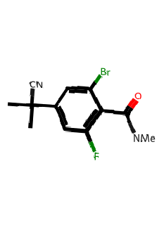 CNC(=O)c1c(F)cc(C(C)(C)C#N)cc1Br